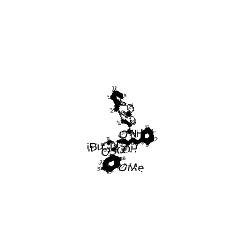 CC[C@@H](C)CN(CC(O)C(Cc1ccccc1)NC(=O)[C@@H]1CN(Cc2cccs2)C(=O)O1)S(=O)(=O)c1cccc(OC)c1